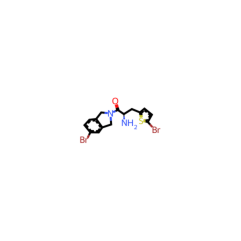 N[C@H](Cc1ccc(Br)s1)C(=O)N1Cc2ccc(Br)cc2C1